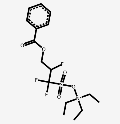 CC[N+](CC)(CC)OS(=O)(=O)C(F)(F)C(F)COC(=O)c1ccccc1